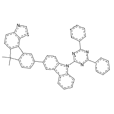 CC1(C)c2ccc(-c3ccc4c(c3)c3ccccc3n4-c3nc(-c4ccccc4)nc(-c4ccccc4)n3)cc2-c2c1ccc1ncsc21